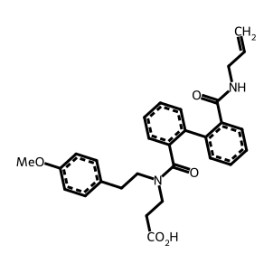 C=CCNC(=O)c1ccccc1-c1ccccc1C(=O)N(CCC(=O)O)CCc1ccc(OC)cc1